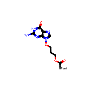 CCCCCC(=O)OCCCOn1cnc2c(=O)[nH]c(N)nc21